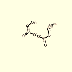 CCO[PH](=O)[O-].O=[PH]([O-])OO.[Ag+2]